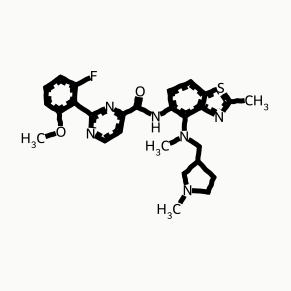 COc1cccc(F)c1-c1nccc(C(=O)Nc2ccc3sc(C)nc3c2N(C)CC2CCN(C)C2)n1